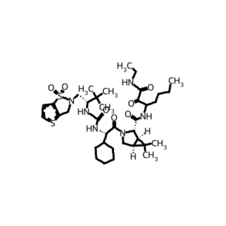 CCCCC(NC(=O)[C@@H]1[C@@H]2[C@H](CN1C(=O)[C@@H](NC(=O)N[C@H](CN1Cc3sccc3S1(=O)=O)C(C)(C)C)C1CCCCC1)C2(C)C)C(=O)C(=O)NCC